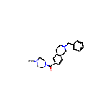 CC(C)N1CCN(C(=O)c2ccc3c(c2)CCN(Cc2ccccc2)C3)CC1